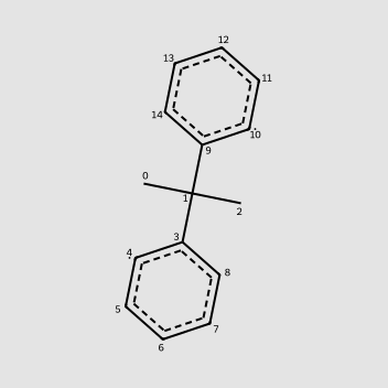 CC(C)(c1[c]cccc1)c1[c]cccc1